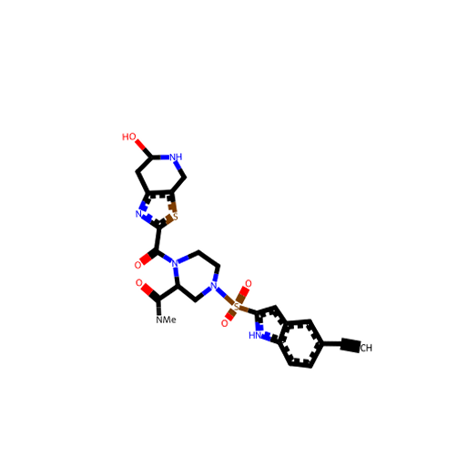 C#Cc1ccc2[nH]c(S(=O)(=O)N3CCN(C(=O)c4nc5c(s4)CNC(O)C5)C(C(=O)NC)C3)cc2c1